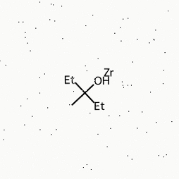 CCC(C)(O)CC.[Zr]